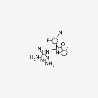 Cc1cccc2nc(CCNc3nc(N)nc(N)c3C#N)n(-c3cc(F)cc(C#N)c3)c(=O)c12